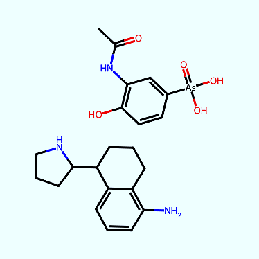 CC(=O)Nc1cc([As](=O)(O)O)ccc1O.Nc1cccc2c1CCCC2C1CCCN1